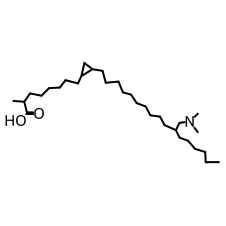 CCCCCCC(CCCCCCCCCCC1CC1CCCCCCC(C)C(=O)O)CN(C)C